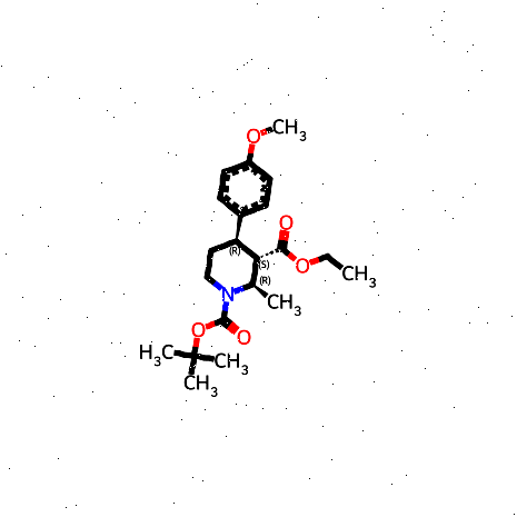 CCOC(=O)[C@@H]1[C@@H](C)N(C(=O)OC(C)(C)C)CC[C@H]1c1ccc(OC)cc1